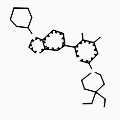 Nc1cc(N2CCC(CO)(CO)CC2)nc(-c2ccc3c(c2)ncn3C2CCCCC2)c1[N+](=O)[O-]